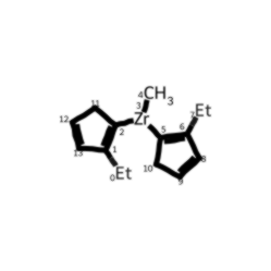 CCC1=[C]([Zr]([CH3])[C]2=C(CC)C=CC2)CC=C1